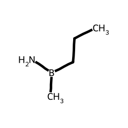 CCCB(C)N